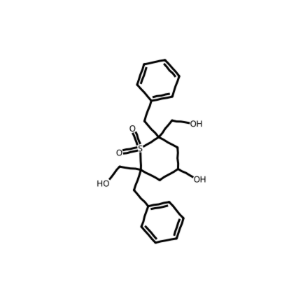 O=S1(=O)C(CO)(Cc2ccccc2)CC(O)CC1(CO)Cc1ccccc1